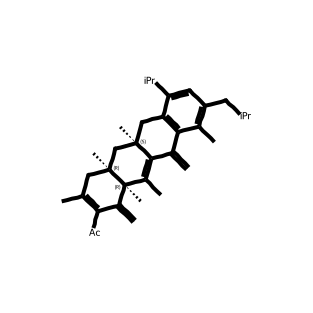 C=C1C2=C(C)[C@@]3(C)C(=C)C(C(C)=O)=C(C)C[C@@]3(C)C[C@@]2(C)Cc2c(C(C)C)cc(CC(C)C)c(C)c21